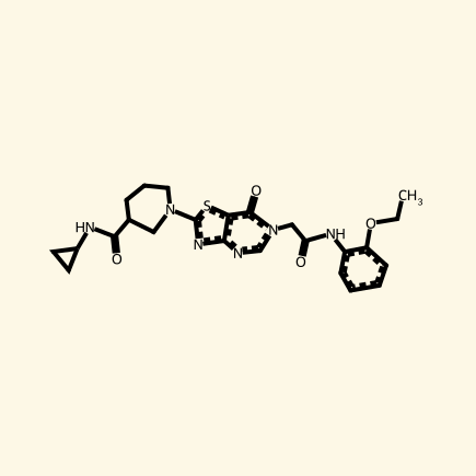 CCOc1ccccc1NC(=O)Cn1cnc2nc(N3CCCC(C(=O)NC4CC4)C3)sc2c1=O